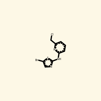 ClCc1cccc(Nc2ncc(Br)s2)n1